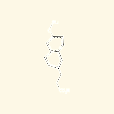 CC(C)(C)Oc1ccc2cc(CCC(=O)O)ccc2c1